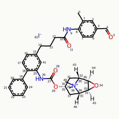 Cc1cc(C=O)ccc1NC(=O)CCCc1ccc(-c2ccccc2)c(NC(=O)O[C@@H]2C[C@@H]3[C@H]4O[C@H]4[C@H](C2)[N+]3(C)C)c1.[I-]